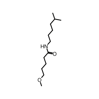 COCCCCC(=O)NCCCCC(C)C